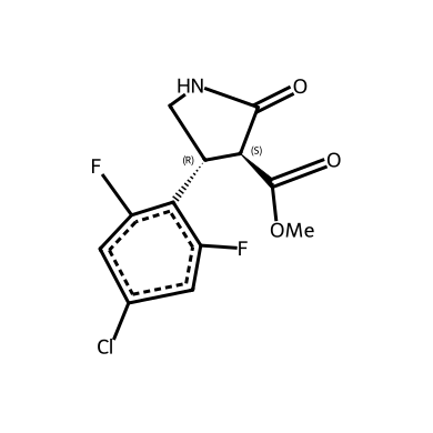 COC(=O)[C@@H]1C(=O)NC[C@H]1c1c(F)cc(Cl)cc1F